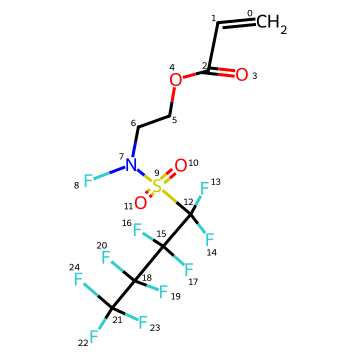 C=CC(=O)OCCN(F)S(=O)(=O)C(F)(F)C(F)(F)C(F)(F)C(F)(F)F